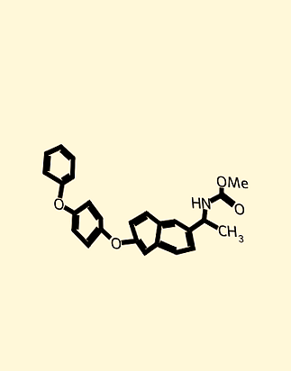 COC(=O)NC(C)c1ccc2cc(Oc3ccc(Oc4ccccc4)cc3)ccc2c1